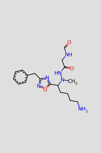 CN(NC(=O)CNC=O)C(CCCCN)c1nc(Cc2ccccc2)no1